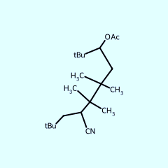 CC(=O)OC(CC(C)(C)C(C)(C)C(C#N)CC(C)(C)C)C(C)(C)C